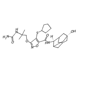 CC(C)(COc1noc(C(=O)N[C@H]2C3CC4CC2C[C@](O)(C4)C3)c1SC1CCCC1)NC(N)=O